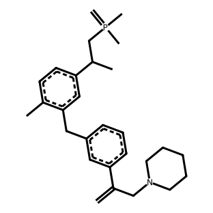 C=C(CN1CCCCC1)c1cccc(Cc2cc(C(C)CP(=C)(C)C)ccc2C)c1